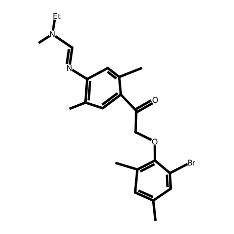 CCN(C)C=Nc1cc(C)c(C(=O)COc2c(C)cc(C)cc2Br)cc1C